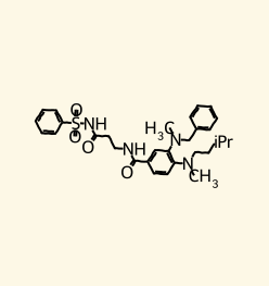 CC(C)CCN(C)c1ccc(C(=O)NCCC(=O)NS(=O)(=O)c2ccccc2)cc1N(C)Cc1ccccc1